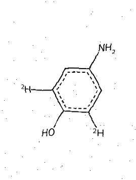 [2H]c1cc(N)cc([2H])c1O